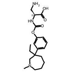 CCC1(c2cccc(OC(=O)N[C@@H](CN)C(=O)O)c2)CCCCN(C)C1